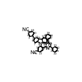 N#Cc1ccc(-c2ccc3c(c2)c2ccccc2n3-c2cc(C#N)ccc2-c2nc(-c3ccccc3)nc(-c3ccccc3)n2)cc1